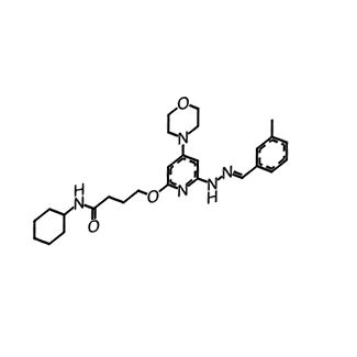 Cc1cccc(C=NNc2cc(N3CCOCC3)cc(OCCCC(=O)NC3CCCCC3)n2)c1